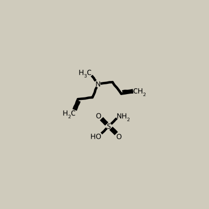 C=CCN(C)CC=C.NS(=O)(=O)O